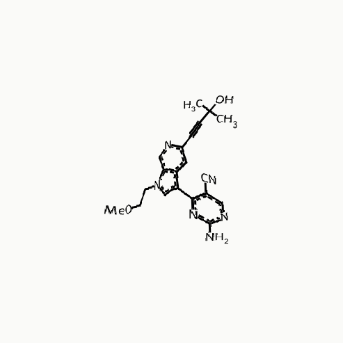 COCCn1cc(-c2nc(N)ncc2C#N)c2cc(C#CC(C)(C)O)ncc21